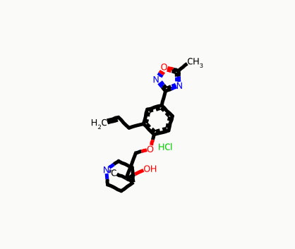 C=CCc1cc(-c2noc(C)n2)ccc1OCC1(O)CN2CCC1CC2.Cl